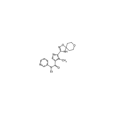 CCN(C(=O)c1cnc(C2=NOC3(CCOCC3)N2)n1C)c1cccnc1